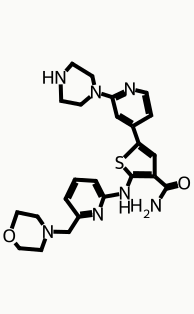 NC(=O)c1cc(-c2ccnc(N3CCNCC3)c2)sc1Nc1cccc(CN2CCOCC2)n1